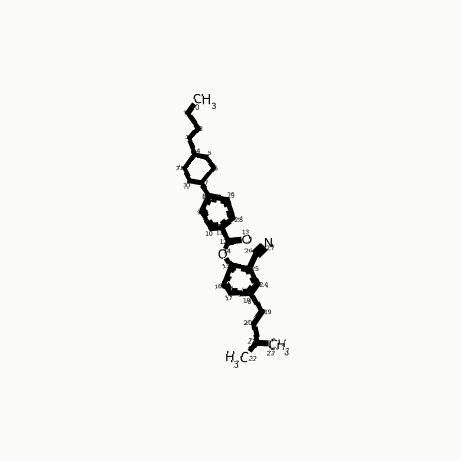 CCCCC1CCC(c2ccc(C(=O)Oc3ccc(CCC(C)C)cc3C#N)cc2)CC1